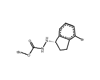 CC(C)(C)OC(=O)NN[C@H]1CCc2c(Br)cccc21